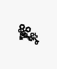 Cc1n([C@@H]2CC[C@H](C(C(N)=O)(c3ccccc3)c3ccccc3)C2)cc[n+]1CC1CO1.[Br-]